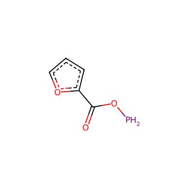 O=C(OP)c1ccco1